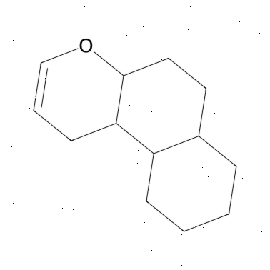 C1=COC2CCC3CCCCC3C2C1